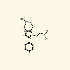 CCN(CC)CCn1c(-c2ccccc2)cc2c1CCC(C(C)(C)C)C2